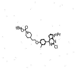 CCCn1ccc2c(-c3ccc(OCCC4CCN(C(=O)OC(C)(C)C)CC4)c(C)c3)nc(Cl)nc21